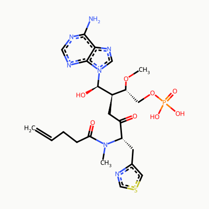 C=CCCC(=O)N(C)[C@@H](Cc1cscn1)C(=O)C[C@@H]([C@@H](O)n1cnc2c(N)ncnc21)[C@@H](COP(=O)(O)O)OC